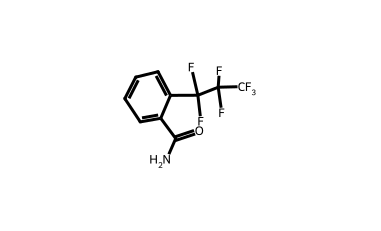 NC(=O)c1ccccc1C(F)(F)C(F)(F)C(F)(F)F